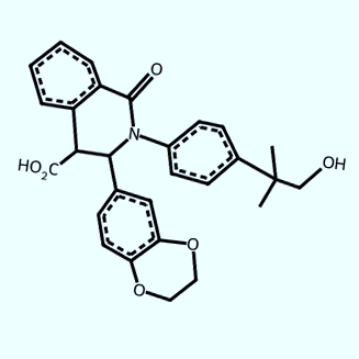 CC(C)(CO)c1ccc(N2C(=O)c3ccccc3C(C(=O)O)C2c2ccc3c(c2)OCCO3)cc1